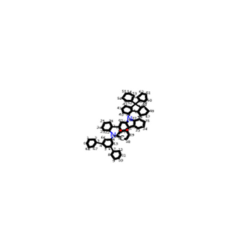 c1ccc(-c2cc(-c3ccccc3)cc(N(c3ccccc3)c3ccccc3-c3ccc4c5ccccc5n(-c5cccc6c5-c5ccccc5C6(c5ccccc5)c5ccccc5)c4c3)c2)cc1